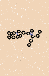 c1ccc(-c2ccc(-c3cc(-c4cccc(-c5ccccc5)c4)cc(-n4c5ccccc5c5cc(-c6ccc(-c7cccc(N(c8ccc9c(c8)C(c8ccccc8)(c8ccccc8)c8ccccc8-9)c8cccc9ccccc89)c7)cc6)ccc54)c3)cc2)cc1